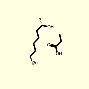 CCC(=O)O.CC[C@H](C)CCCCC[C@H](C)O